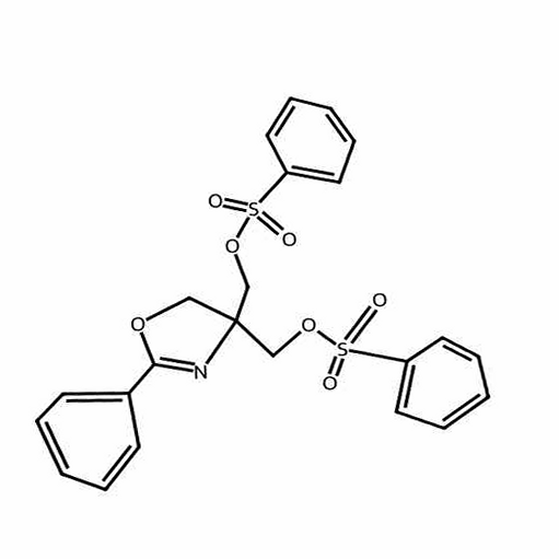 O=S(=O)(OCC1(COS(=O)(=O)c2ccccc2)COC(c2ccccc2)=N1)c1ccccc1